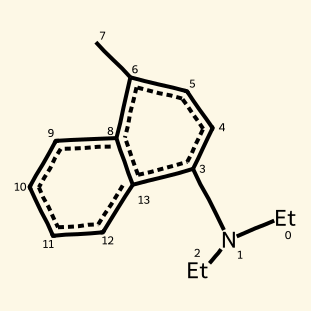 CCN(CC)c1ccc(C)c2ccccc12